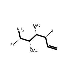 C=C[C@@H](I)[C@@H](OC(C)=O)[C@H](OC(C)=O)[C@@H](N)CC